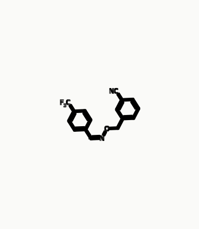 N#Cc1cccc(CO/N=[C]\c2ccc(C(F)(F)F)cc2)c1